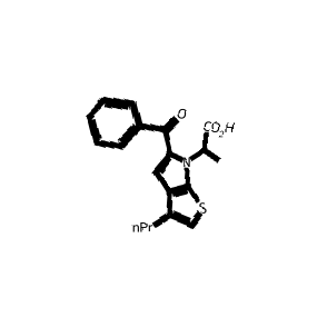 CCCc1csc2c1cc(C(=O)c1ccccc1)n2C(C)C(=O)O